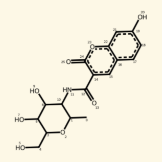 CC1OC(CO)C(O)C(O)C1NC(=O)c1cc2ccc(O)cc2oc1=O